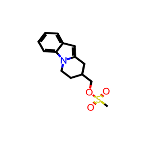 CS(=O)(=O)OCC1CCn2c(cc3ccccc32)C1